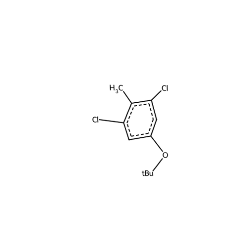 Cc1c(Cl)cc(OC(C)(C)C)cc1Cl